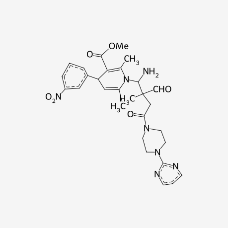 COC(=O)C1=C(C)N(C(N)C(C)(C=O)CC(=O)N2CCN(c3ncccn3)CC2)C(C)=CC1c1cccc([N+](=O)[O-])c1